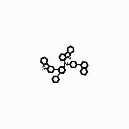 c1ccc(-c2ccc(N(c3ccc(-c4cccc5ccccc45)cc3)c3cccc4c3sc3ccccc34)cc2-c2ccc3sc4ccccc4c3c2)cc1